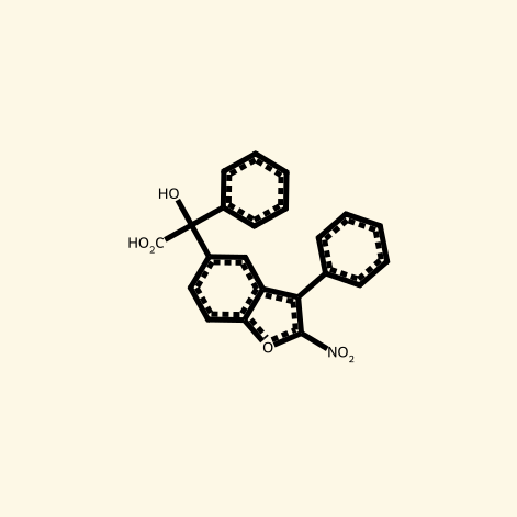 O=C(O)C(O)(c1ccccc1)c1ccc2oc([N+](=O)[O-])c(-c3ccccc3)c2c1